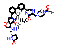 COc1nc(-c2cccc(-c3cccc(-c4cc5c(c(OC)n4)[C@@H](NC[C@@H]4CCC(=O)N4)CO5)c3C)c2F)cnc1CN1CCN(C(C)=O)CC1